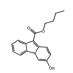 CCCCOC(=O)c1c2ccccc2n2cc(O)ccc12